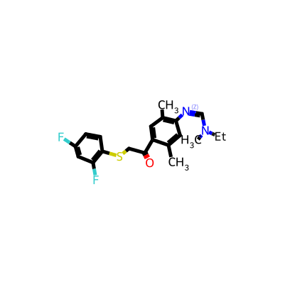 CCN(C)/C=N\c1cc(C)c(C(=O)CSc2ccc(F)cc2F)cc1C